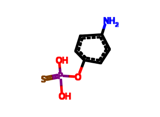 Nc1ccc(OP(O)(O)=S)cc1